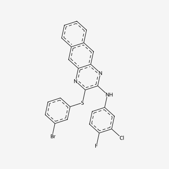 Fc1ccc(Nc2nc3cc4ccccc4cc3nc2Sc2cccc(Br)c2)cc1Cl